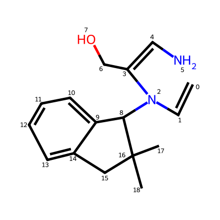 C=CN(/C(=C\N)CO)C1c2ccccc2CC1(C)C